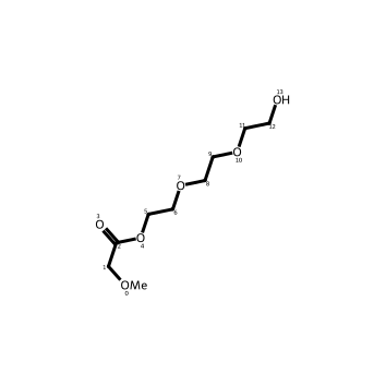 COCC(=O)OCCOCCOCCO